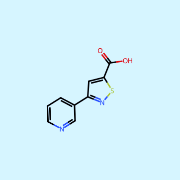 O=C(O)c1cc(-c2cccnc2)ns1